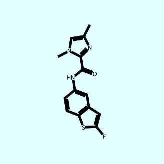 Cc1cn(C)c(C(=O)Nc2ccc3sc(F)cc3c2)n1